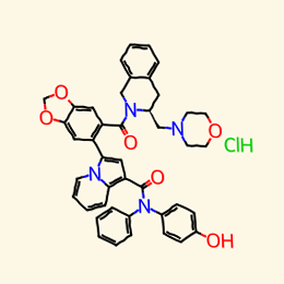 Cl.O=C(c1cc(-c2cc3c(cc2C(=O)N2Cc4ccccc4C[C@H]2CN2CCOCC2)OCO3)n2ccccc12)N(c1ccccc1)c1ccc(O)cc1